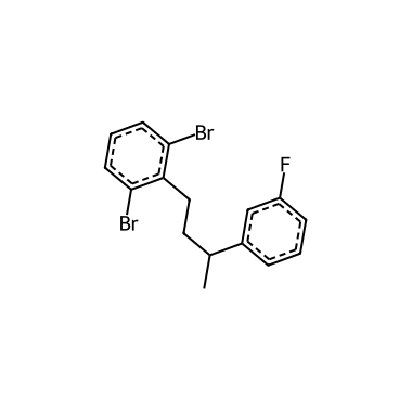 CC(CCc1c(Br)cccc1Br)c1cccc(F)c1